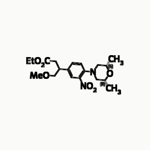 CCOC(=O)CC(COC)c1ccc(N2C[C@@H](C)O[C@@H](C)C2)c([N+](=O)[O-])c1